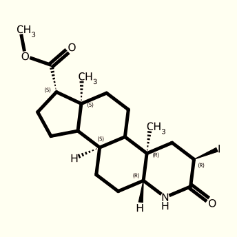 COC(=O)[C@H]1CCC2[C@@H]3CC[C@H]4NC(=O)[C@H](I)C[C@]4(C)C3CC[C@@]21C